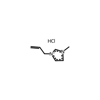 C=CC[n+]1ccn(C)c1.Cl